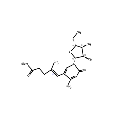 COC(=O)CC/C(C)=C/c1cn([C@@H]2O[C@H](CO)[C@@H](O)[C@H]2O)c(=O)nc1N